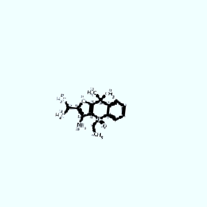 CCP1(=O)c2ccccc2C(C)(C)c2oc(C(C)C)c(N)c21